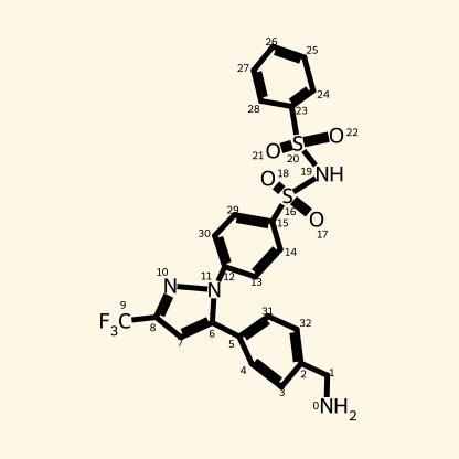 NCc1ccc(-c2cc(C(F)(F)F)nn2-c2ccc(S(=O)(=O)NS(=O)(=O)c3ccccc3)cc2)cc1